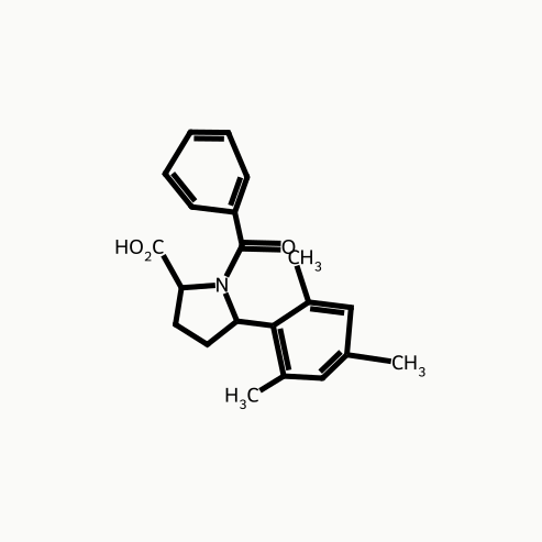 Cc1cc(C)c(C2CCC(C(=O)O)N2C(=O)c2ccccc2)c(C)c1